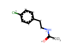 O=C(NCCc1ccc(Cl)cc1)C(Cl)(Cl)Cl